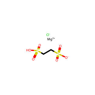 O=S(=O)([O-])CCS(=O)(=O)O.[Cl-].[Mg+2]